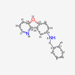 Cc1ccccc1CNc1ccc2oc3cccnc3c2c1